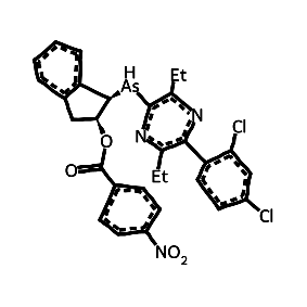 CCc1nc(-c2ccc(Cl)cc2Cl)c(CC)nc1[AsH][C@@H]1c2ccccc2C[C@@H]1OC(=O)c1ccc([N+](=O)[O-])cc1